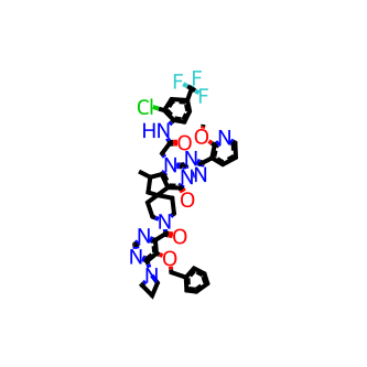 COc1ncccc1-c1nc2n(CC(=O)Nc3ccc(C(F)(F)F)cc3Cl)c3c(c(=O)n2n1)C1(CCN(C(=O)c2ncnc(N4CCC4)c2OCc2ccccc2)CC1)CC3C